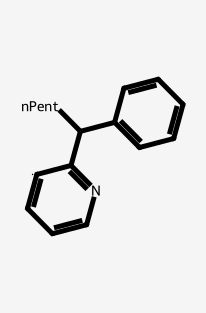 CCCCCC(c1ccccc1)c1[c]cccn1